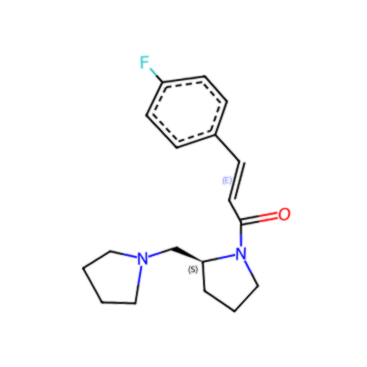 O=C(/C=C/c1ccc(F)cc1)N1CCC[C@H]1CN1CCCC1